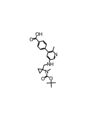 Cc1ncc(NCC2(N(C)C(=O)OC(C)(C)C)CC2)cc1-c1ccc(C(=O)O)cc1